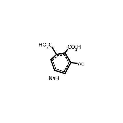 CC(=O)c1cccc(C(=O)O)c1C(=O)O.[NaH]